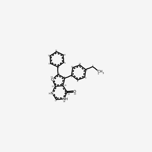 CCc1ccc(-c2c(-c3ccccc3)oc3nc[nH]c(=O)c23)cc1